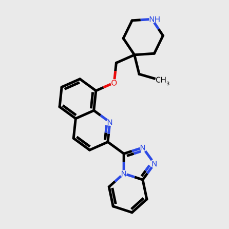 CCC1(COc2cccc3ccc(-c4nnc5ccccn45)nc23)CCNCC1